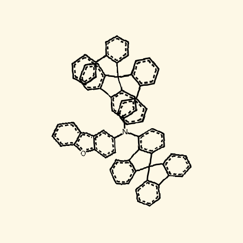 c1ccc(-c2ccccc2C2(c3ccccc3-c3ccccc3)c3ccccc3-c3cc(N(c4ccc5oc6ccccc6c5c4)c4cccc5c4-c4ccccc4C54c5ccccc5-c5ccccc54)ccc32)cc1